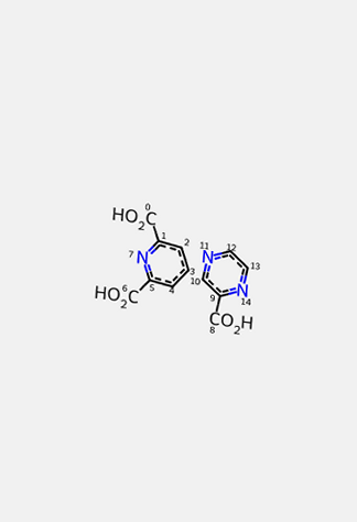 O=C(O)c1cccc(C(=O)O)n1.O=C(O)c1cnccn1